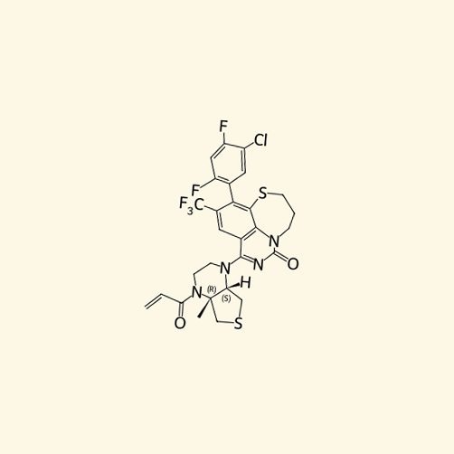 C=CC(=O)N1CCN(c2nc(=O)n3c4c(c(-c5cc(Cl)c(F)cc5F)c(C(F)(F)F)cc24)SCCC3)[C@@H]2CSC[C@@]21C